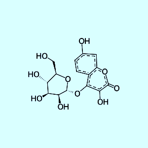 O=c1oc2cc(O)ccc2c(O[C@H]2O[C@H](CO)[C@@H](O)[C@H](O)[C@@H]2O)c1O